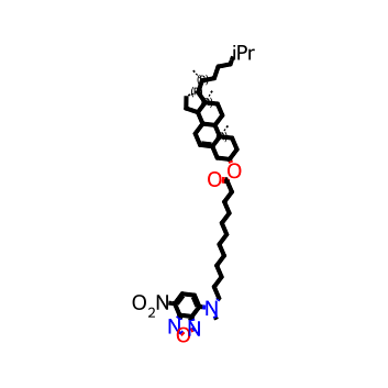 CC(C)CCC[C@@H](C)[C@H]1CCC2C3CC=C4CC(OC(=O)CCCCCCCCCCCN(C)c5ccc([N+](=O)[O-])c6nonc56)CC[C@]4(C)C3CC[C@@]21C